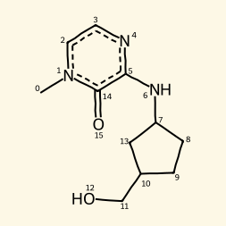 Cn1ccnc(NC2CCC(CO)C2)c1=O